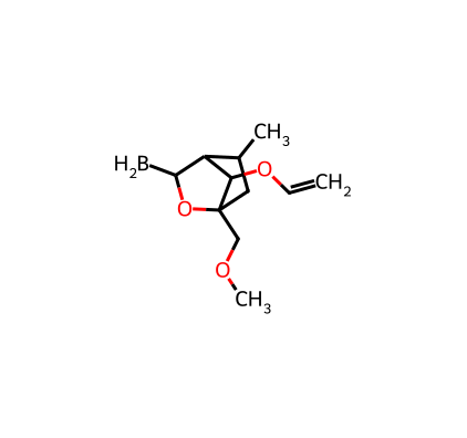 BC1OC2(COC)CC(C)C1C2OC=C